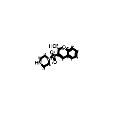 Cl.O=S(=O)(C1=Cc2ccccc2OC1)N1CCNCC1